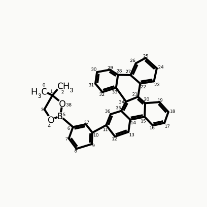 CC1(C)COB(c2cccc(-c3ccc4c5ccccc5c5c6ccccc6c6ccccc6c5c4c3)c2)O1